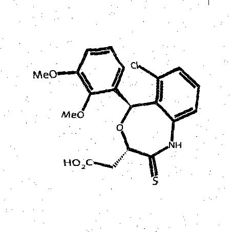 COc1cccc([C@@H]2O[C@@H](CC(=O)O)C(=S)Nc3cccc(Cl)c32)c1OC